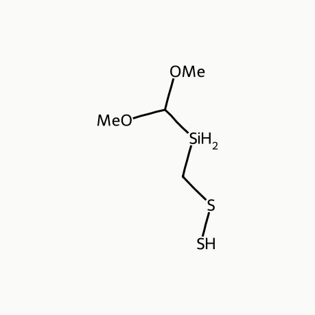 COC(OC)[SiH2]CSS